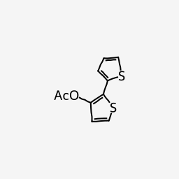 CC(=O)Oc1ccsc1-c1cccs1